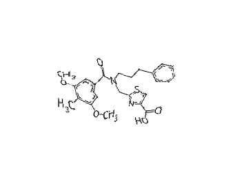 COc1cc(C(=O)N(CCCc2ccccc2)Cc2nc(C(=O)O)cs2)cc(OC)c1C